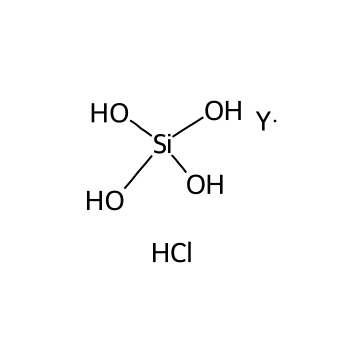 Cl.O[Si](O)(O)O.[Y]